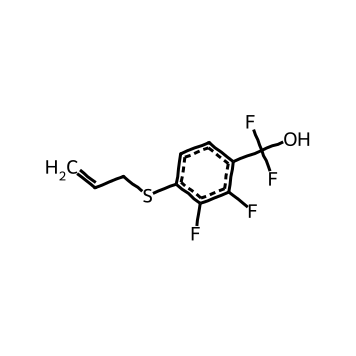 C=CCSc1ccc(C(O)(F)F)c(F)c1F